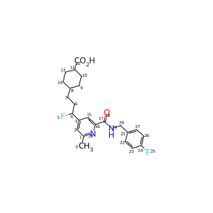 Cc1cc(C(F)CCC2CCC(C(=O)O)CC2)cc(C(=O)NCc2ccc(F)cc2)n1